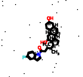 C[C@H](CCC(=O)n1ccc2cc(F)ccc21)[C@H]1CC[C@H]2[C@@H]3CC[C@@H]4C[C@H](O)CC[C@]4(C)[C@H]3C[C@H](O)[C@]12C